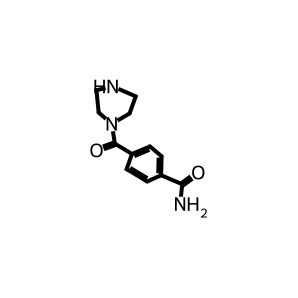 NC(=O)c1ccc(C(=O)N2CCNCC2)cc1